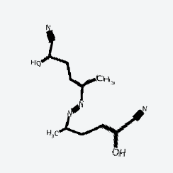 CC(CCC(O)C#N)N=NC(C)CCC(O)C#N